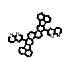 c1cnc2ncc(-c3c4c(cc5c3ccc3c6cc7c(c(-c8cnc9ncccc9c8)c6ccc53)-c3cccc5cccc-7c35)-c3cccc5cccc-4c35)cc2c1